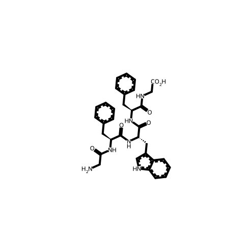 NCC(=O)N[C@@H](Cc1ccccc1)C(=O)N[C@@H](Cc1c[nH]c2ccccc12)C(=O)N[C@@H](Cc1ccccc1)C(=O)NCC(=O)O